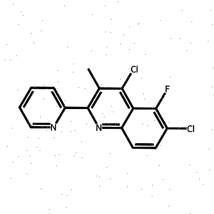 Cc1c(-c2ccccn2)nc2ccc(Cl)c(F)c2c1Cl